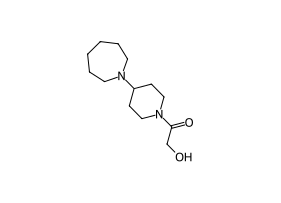 O=C(CO)N1CCC(N2CCCCCC2)CC1